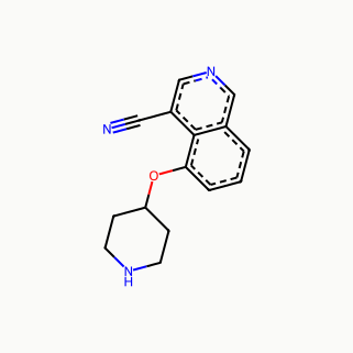 N#Cc1cncc2cccc(OC3CCNCC3)c12